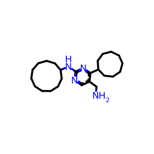 NCc1cnc(NC2CCCCCCCCCC2)nc1C1CCCCCCCC1